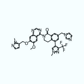 COc1cc2c(N3CCc4c(cc(Cn5ccnc5)cc4-c4cn(C)nc4C(F)(F)F)C3=O)ncnc2cc1OCc1ccnn1C